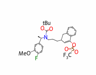 COc1cc([C@@H](C)N(CCCC2C=C(OS(=O)(=O)C(F)(F)F)c3ccccc3C2)C(=O)OC(C)(C)C)ccc1F